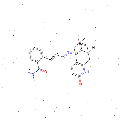 C/C=C1\[C@H]2C=C(C)C[C@]1(N=CC=Cc1ccccc1C(=O)N(C)C)c1ccc(=O)[nH]c1C2